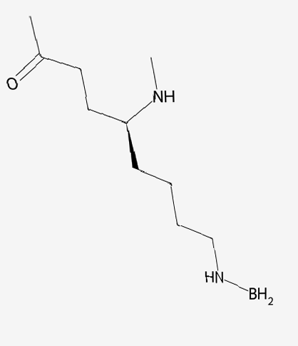 BNCCCC[C@@H](CCC(C)=O)NC